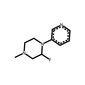 CN1CCN(c2cccnc2)C(F)C1